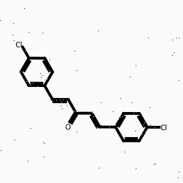 O=C(/C=C/c1ccc(Cl)cc1)/C=C/c1ccc(Cl)cc1